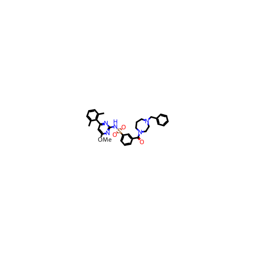 COc1cc(-c2c(C)cccc2C)nc(NS(=O)(=O)c2cccc(C(=O)N3CCCN(Cc4ccccc4)CC3)c2)n1